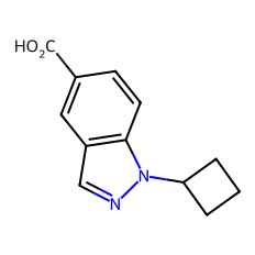 O=C(O)c1ccc2c(cnn2C2CCC2)c1